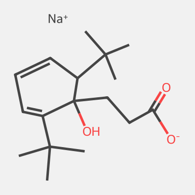 CC(C)(C)C1=CC=CC(C(C)(C)C)C1(O)CCC(=O)[O-].[Na+]